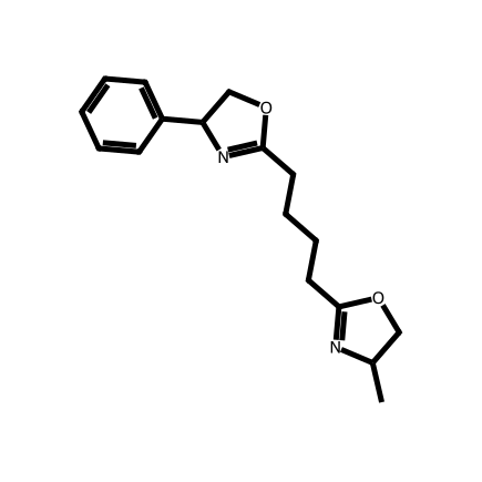 CC1COC(CCCCC2=NC(c3ccccc3)CO2)=N1